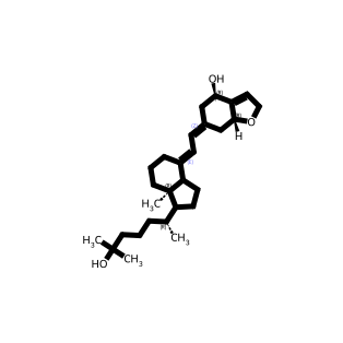 C[C@H](CCCC(C)(C)O)C1CCC2/C(=C/C=C3/C[C@@H](O)C4=CCO[C@@H]4C3)CCC[C@@]21C